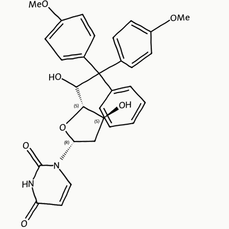 COc1ccc(C(c2ccccc2)(c2ccc(OC)cc2)C(O)[C@H]2O[C@@H](n3ccc(=O)[nH]c3=O)C[C@@H]2O)cc1